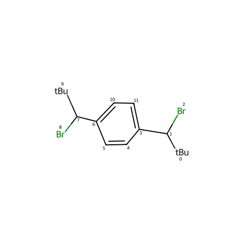 CC(C)(C)C(Br)c1ccc(C(Br)C(C)(C)C)cc1